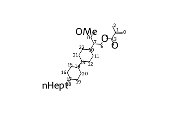 C=C(C)C(=O)OCC(COC)C1CCC(C2CCC(CCCCCCC)CC2)CC1